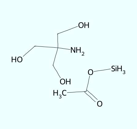 CC(=O)O[SiH3].NC(CO)(CO)CO